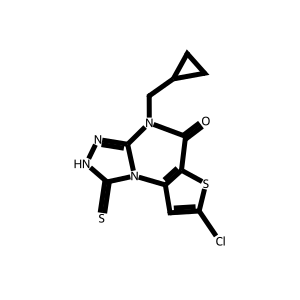 O=c1c2sc(Cl)cc2n2c(=S)[nH]nc2n1CC1CC1